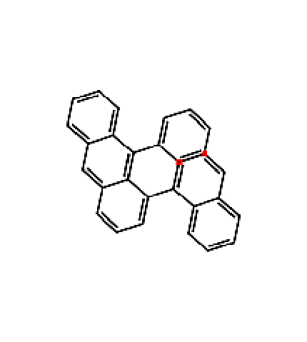 c1ccc(-c2c3ccccc3cc3cccc(-c4cccc5ccccc45)c23)cc1